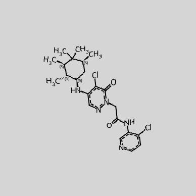 C[C@@H]1[C@@H](C)C(C)(C)[C@@H](C)C[C@H]1Nc1cnn(CC(=O)Nc2cnccc2Cl)c(=O)c1Cl